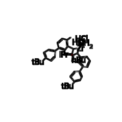 CCCCC1=Cc2c(-c3ccc(C(C)(C)C)cc3)ccc(C)c2[CH]1[Zr]([CH3])([CH3])(=[SiH2])[CH]1C(C(C)C)=Cc2c(-c3ccc(C(C)(C)C)cc3)cccc21.Cl.Cl